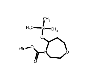 CC(C)(C)OC(=O)N1CCOCCC1O[Si](C)(C)C